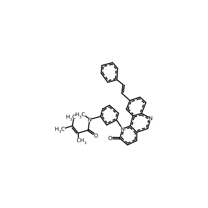 CC(C)=C(C)C(=O)N(C)c1cccc(-n2c(=O)ccc3cnc4ccc(/C=C/c5ccccc5)cc4c32)c1